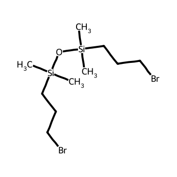 C[Si](C)(CCCBr)O[Si](C)(C)CCCBr